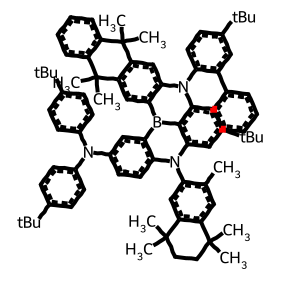 Cc1cc2c(cc1N1c3ccc(N(c4ccc(C(C)(C)C)cc4)c4ccc(C(C)(C)C)cc4)cc3B3c4cc5c(cc4N(c4ccc(C(C)(C)C)cc4-c4ccccc4)c4cc(C(C)(C)C)cc1c43)C(C)(C)c1ccccc1C5(C)C)C(C)(C)CCC2(C)C